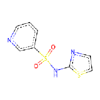 O=S(=O)(Nc1nccs1)c1cccnc1